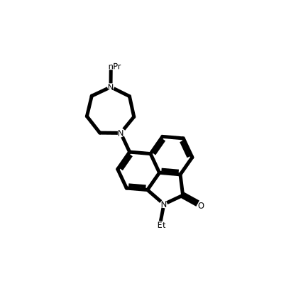 CCCN1CCCN(c2ccc3c4c(cccc24)C(=O)N3CC)CC1